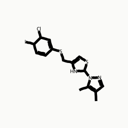 Cc1cnn(C2NC(CSC3=CC(Cl)C(I)C=C3)=CS2)c1C